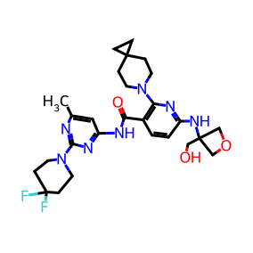 Cc1cc(NC(=O)c2ccc(NC3(CO)COC3)nc2N2CCC3(CC2)CC3)nc(N2CCC(F)(F)CC2)n1